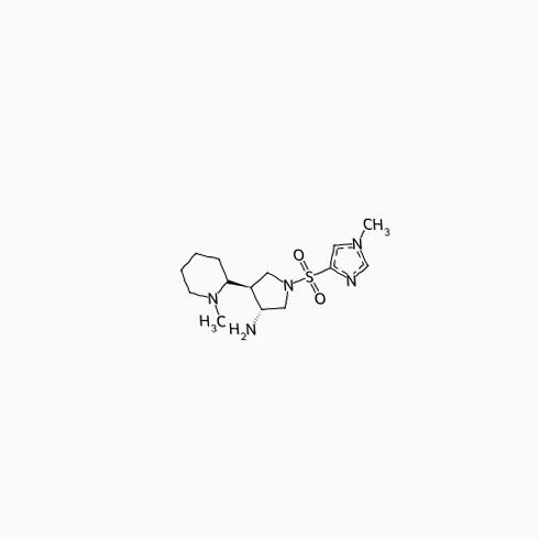 CN1CCCCC1[C@H]1CN(S(=O)(=O)c2cn(C)cn2)C[C@@H]1N